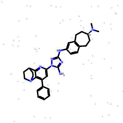 CN(C)[C@H]1CCc2ccc(Nc3nc(N)n(-c4cc(-c5ccccc5)c5c(n4)C4CCN5CC4)n3)cc2CC1